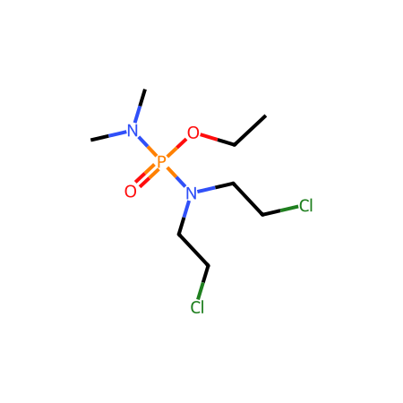 CCOP(=O)(N(C)C)N(CCCl)CCCl